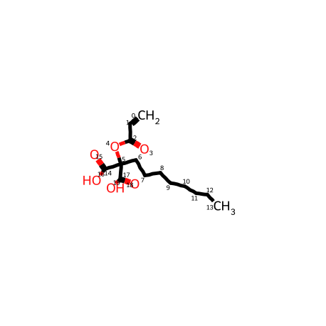 C=CC(=O)OC(CCCCCCCC)(C(=O)O)C(=O)O